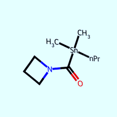 CC[CH2][Sn]([CH3])([CH3])[C](=O)N1CCC1